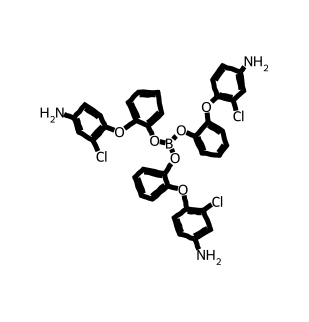 Nc1ccc(Oc2ccccc2OB(Oc2ccccc2Oc2ccc(N)cc2Cl)Oc2ccccc2Oc2ccc(N)cc2Cl)c(Cl)c1